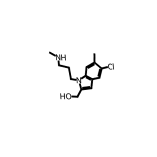 CNCCCn1c(CO)cc2cc(Cl)c(C)cc21